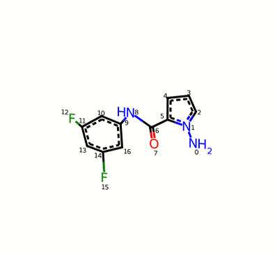 Nn1cccc1C(=O)Nc1cc(F)cc(F)c1